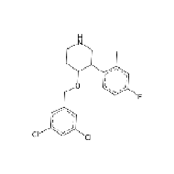 Cc1cc(F)ccc1C1CNCCC1OCc1cc(Cl)cc(Cl)c1